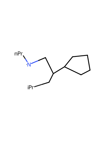 CCC[N]CC(CC(C)C)C1CCCC1